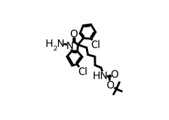 CC(C)(C)OC(=O)NCCCCCC1(c2ccccc2Cl)C(=O)N(N)c2ccc(Cl)cc21